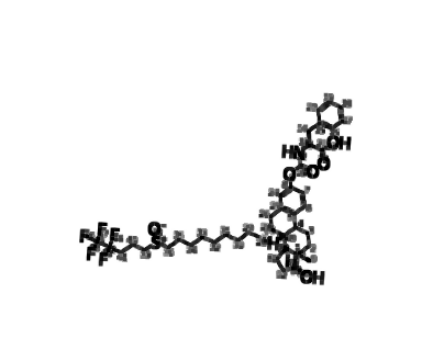 C[C@]12CCC3c4ccc(OC(=O)N[C@@H](Cc5ccccc5)C(=O)O)cc4C[C@@H](CCCCCCCCC[S+]([O-])CCCC(F)(F)C(F)(F)F)[C@H]3[C@@H]1CC[C@@H]2O